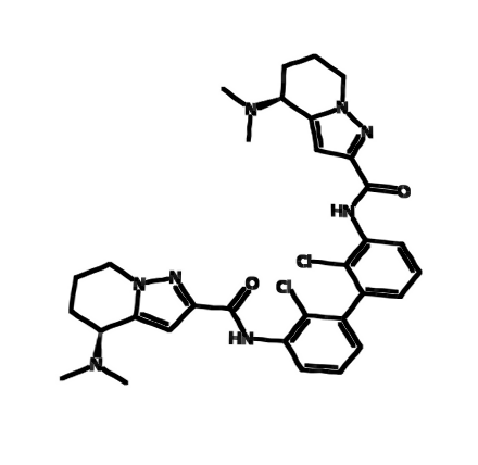 CN(C)[C@H]1CCCn2nc(C(=O)Nc3cccc(-c4cccc(NC(=O)c5cc6n(n5)CCC[C@@H]6N(C)C)c4Cl)c3Cl)cc21